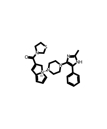 Cc1nc(N2CCN([N@@+]34C=CC=C3C=C(C(=O)N3CCSC3)C4)CC2)c(-c2ccccc2)[nH]1